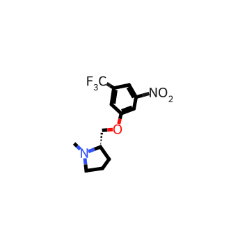 CN1CCC[C@H]1COc1cc([N+](=O)[O-])cc(C(F)(F)F)c1